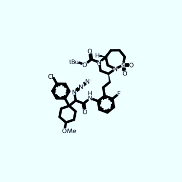 COC1CCC(c2ccc(Cl)cc2)(C(N=[N+]=[N-])C(=O)Nc2cccc(F)c2CC[C@H]2CN(C(=O)OC(C)(C)C)[C@@H]3CCCS(=O)(=O)N2C3)CC1